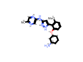 COc1cccc(O[C@@H]2CCC[C@@H](N)C2)c1-c1cc(Nc2cnc(C#N)cn2)n[nH]1